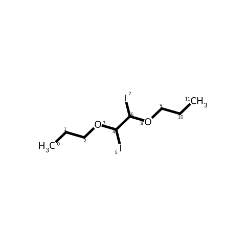 CCCOC(I)C(I)OCCC